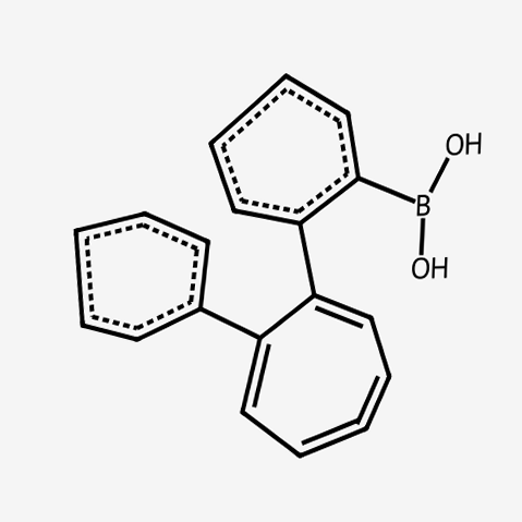 OB(O)c1ccccc1C1=CC=C=CC=C1c1ccccc1